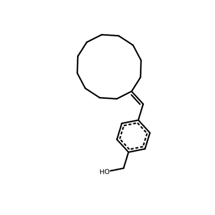 OCc1ccc(C=C2CCCCCCCCCCC2)cc1